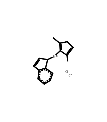 CC1=CCC(C)=[C]1[Zr+2][CH]1C=Cc2ccccc21.[Cl-].[Cl-]